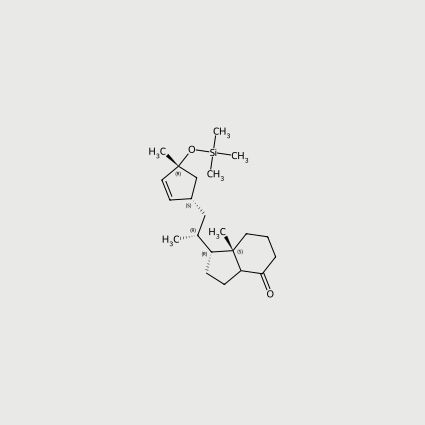 C[C@H](C[C@@H]1C=C[C@](C)(O[Si](C)(C)C)C1)[C@H]1CCC2C(=O)CCC[C@]21C